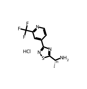 C[C@@H](N)c1nc(-c2ccnc(C(F)(F)F)c2)ns1.Cl